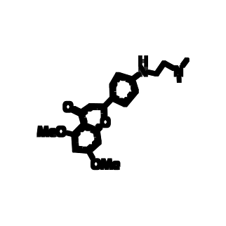 COc1cc(OC)c2c(=O)cc(-c3ccc(NCCN(C)C)cc3)oc2c1